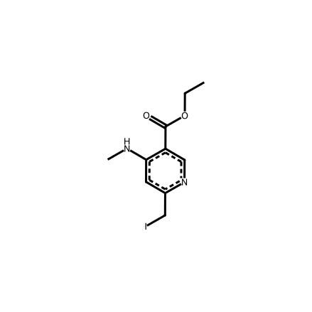 CCOC(=O)c1cnc(CI)cc1NC